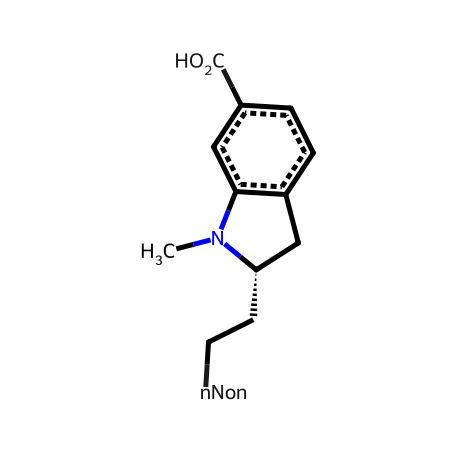 CCCCCCCCCCC[C@H]1Cc2ccc(C(=O)O)cc2N1C